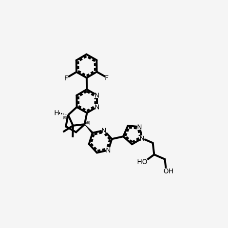 CC1(C)[C@H]2CC[C@@]1(c1ccnc(-c3cnn(CC(O)CO)c3)n1)c1nnc(-c3c(F)cccc3F)cc12